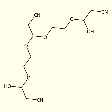 N#CCC(O)OCCOC(CC#N)OCCOC(O)CC#N